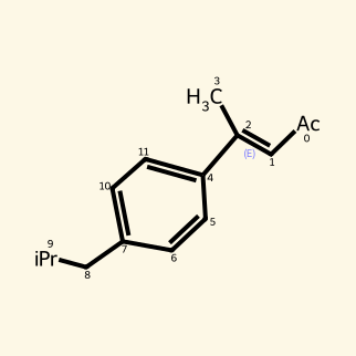 CC(=O)/C=C(\C)c1ccc(CC(C)C)cc1